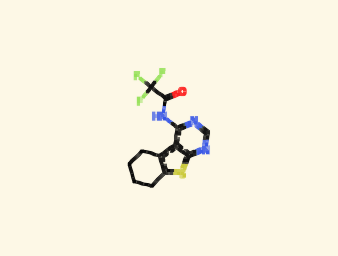 O=C(Nc1ncnc2sc3c(c12)CCCC3)C(F)(F)F